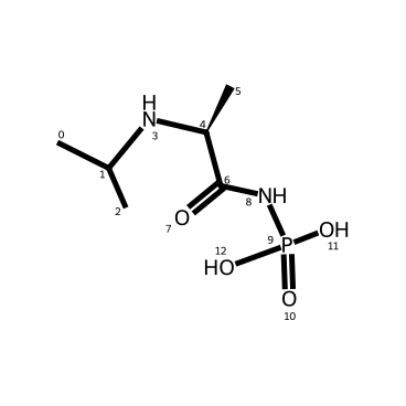 CC(C)N[C@@H](C)C(=O)NP(=O)(O)O